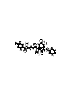 CC1CC2CC(NC(=O)CCCNC(=O)c3ccc(F)cc3)(C1)CC(C)C2OOC1CCCCC1